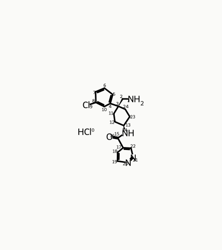 Cl.NC[C@]1(c2cccc(Cl)c2)CC[C@H](NC(=O)c2ccnnc2)CC1